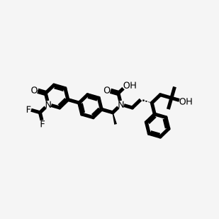 C[C@@H](c1ccc(-c2ccc(=O)n(C(F)F)c2)cc1)N(CC[C@H](CC(C)(C)O)c1ccccc1)C(=O)O